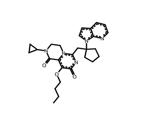 CCCCOc1c2n(c(CC3(n4ccc5cccnc54)CCCC3)nc1=O)CCN(C1CC1)C2=O